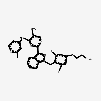 COCCOc1cc(F)c(Cn2nc(-c3ncc(OC)c(Nc4ccnc(C)c4)n3)c3ccccc32)c(F)c1